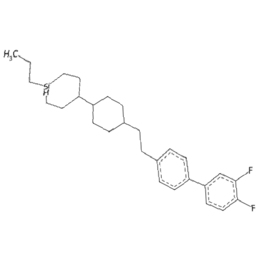 CCC[SiH]1CCC(C2CCC(CCc3ccc(-c4ccc(F)c(F)c4)cc3)CC2)CC1